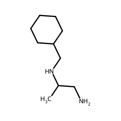 CC(CN)NCC1CCCCC1